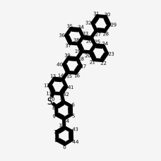 c1ccc(-c2ccc3c(c2)sc2ccc(-c4ccc(-c5c6ccccc6c(-c6ccccc6)c6ccccc56)cc4)cc23)cc1